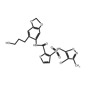 Cc1noc(NS(=O)(=O)c2ccsc2C(=O)Nc2cc3c(cc2CCCO)OCO3)c1Cl